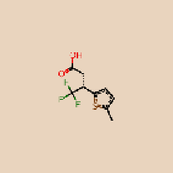 Cc1ccc([C@@H](CC(=O)O)C(F)(F)F)s1